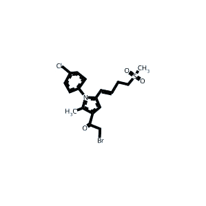 Cc1c(C(=O)CBr)cc(/C=C/CCS(C)(=O)=O)n1-c1ccc(Cl)cc1